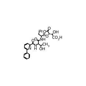 CC(C)CC(NC(=O)C(NC(=O)c1cccc(-c2ccccc2)n1)C(C)O)B1OC(=O)[C@@H](C(O)C(=O)O)O1